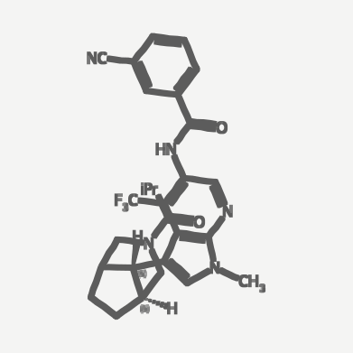 CC(C)C(=O)N1CC2CC[C@H](C1)[C@H]2c1cn(C)c2ncc(NC(=O)c3cccc(C#N)c3)c(C(F)(F)F)c12